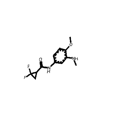 CNc1cc(NC(=O)C2CC2(F)F)ccc1OC